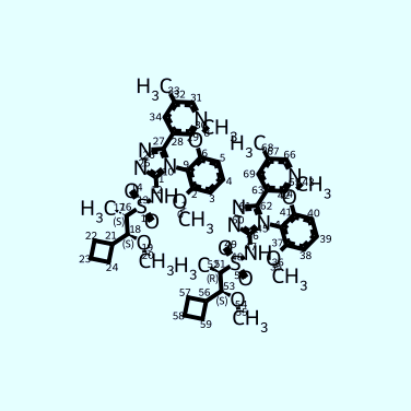 COc1cccc(OC)c1-n1c(NS(=O)(=O)[C@@H](C)[C@@H](OC)C2CCC2)nnc1-c1cncc(C)c1.COc1cccc(OC)c1-n1c(NS(=O)(=O)[C@H](C)[C@@H](OC)C2CCC2)nnc1-c1cncc(C)c1